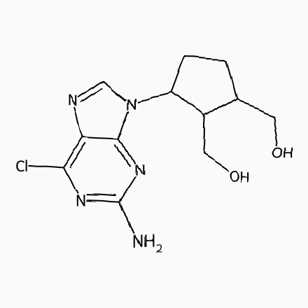 Nc1nc(Cl)c2ncn(C3CCC(CO)C3CO)c2n1